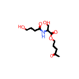 CC(=O)CCCOC(=O)C(CO)NC(=O)CCCO